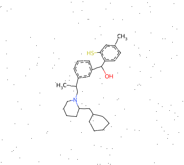 Cc1ccc(C(O)c2cccc(C(C)CN3CCCCC3CC3CCCCC3)c2)c(S)c1